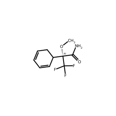 CO[C@@](C(N)=O)(C1C=CC=CC1)C(F)(F)F